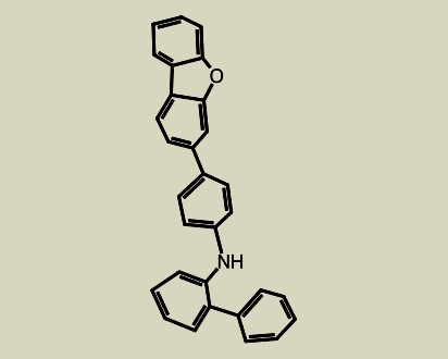 c1ccc(-c2ccccc2Nc2ccc(-c3ccc4c(c3)oc3ccccc34)cc2)cc1